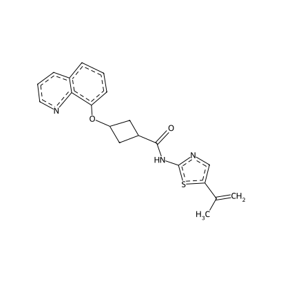 C=C(C)c1cnc(NC(=O)C2CC(Oc3cccc4cccnc34)C2)s1